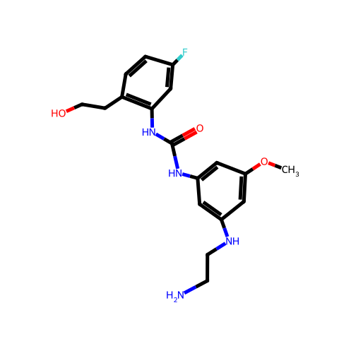 COc1cc(NCCN)cc(NC(=O)Nc2cc(F)ccc2CCO)c1